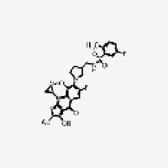 COc1c(N2CCC(CNS(=O)(=O)c3cc(F)ccc3C)C2)c(F)cc2c(=O)c3c(O)c(C(C)=O)sc3n(C3CC3)c12